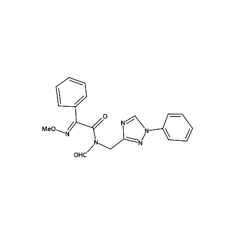 CON=C(C(=O)N(C=O)Cc1ncn(-c2ccccc2)n1)c1ccccc1